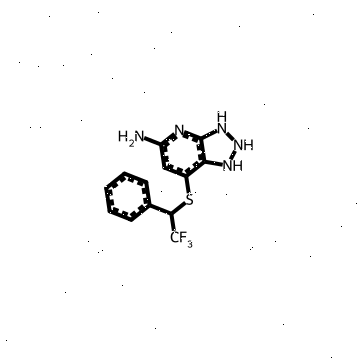 Nc1cc(SC(c2ccccc2)C(F)(F)F)c2c(n1)NNN2